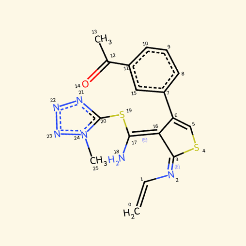 C=C/N=C1/SC=C(c2cccc(C(C)=O)c2)/C1=C(/N)Sc1nnnn1C